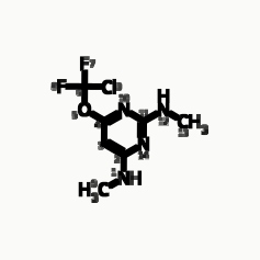 CNc1cc(OC(F)(F)Cl)nc(NC)n1